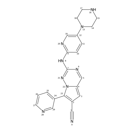 N#Cc1cc2cnc(Nc3ccc(N4CCNCC4)cn3)nn2c1-c1cccnc1